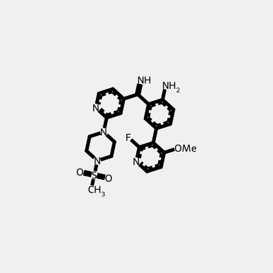 COc1ccnc(F)c1-c1ccc(N)c(C(=N)c2ccnc(N3CCN(S(C)(=O)=O)CC3)c2)c1